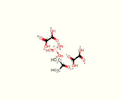 O=C(O)C(=O)C(=O)O.O=C(O)C(=O)O.O=C(O)C(=O)O.OB(O)O